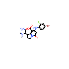 CN(C)C(C(N)=O)C1CCn2c1c(C(=O)O)c(Nc1ccc(Br)cc1F)cc2=O